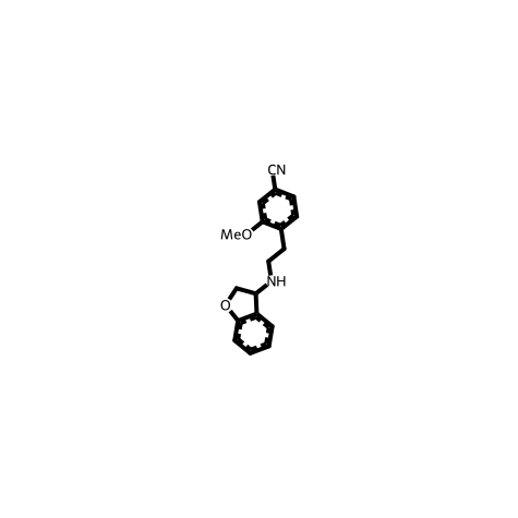 COc1cc(C#N)ccc1CCNC1COc2ccccc21